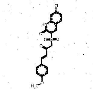 COc1ccc(/C=C/C(=O)CS(=O)(=O)c2cc3ccc(Cl)cc3[nH]c2=O)cc1